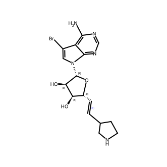 Nc1ncnc2c1c(Br)cn2[C@@H]1O[C@H](/C=C/C2CCNC2)[C@@H](O)[C@H]1O